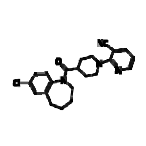 N#Cc1cccnc1N1CCC(C(=O)N2CCCCc3cc(Cl)ccc32)CC1